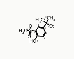 CCC(C)(C)c1ccc(O)c(S(C)(=O)=O)c1